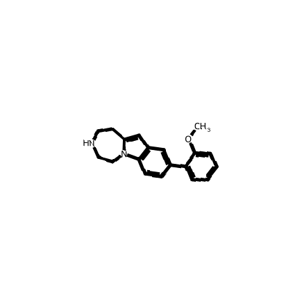 COc1ccccc1-c1ccc2c(c1)cc1n2CCNCC1